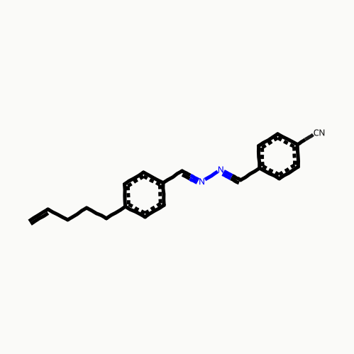 C=CCCCc1ccc(C=NN=Cc2ccc(C#N)cc2)cc1